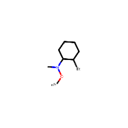 CCCON(C)C1CCCCC1CC